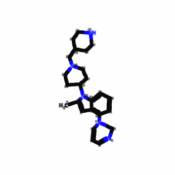 Cc1cc2c(N3C=CC=NC3)cccc2n1C1CCN(CC2CCNCC2)CC1